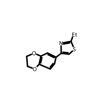 CCc1nc(-c2ccc3c(c2)OCCO3)cs1